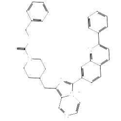 O=C(OCc1ccccc1)N1CCC(CC2=C3C=NC=C[N+]3(Cl)C(c3ccc4ccc(-c5ccccc5)nc4c3)=N2)CC1